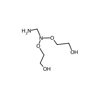 NCN(OCCO)OCCO